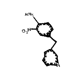 CC(=O)Nc1ccc(Cc2cccnc2)cc1[N+](=O)[O-]